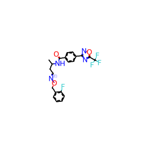 CC(C/C=N/OCc1ccccc1F)NC(=O)c1ccc(-c2noc(C(F)(F)F)n2)cc1